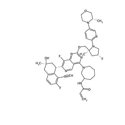 C#Cc1c(F)ccc2c1[C@@H](c1ncc3c(N4CCCCC(NC(=O)C=C)C4)nc(OC[C@]4(C)C[C@@H](F)CN4c4ccc(N5CCOC[C@@H]5C)cn4)nc3c1F)C[C@](C)(O)C2